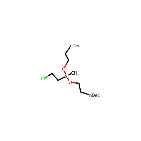 CCCCCCCCCCCCO[Si](C)(CCCl)OCCCCCCCCCCCC